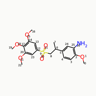 COc1ccc(C(C)CS(=O)(=O)c2cc(OC)c(OC)c(OC)c2)cc1N